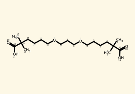 CC(C)(CCCCOCCCOCCCCC(C)(C)C(=O)O)C(=O)O